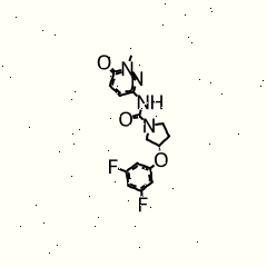 Cn1nc(NC(=O)N2CC[C@H](Oc3cc(F)cc(F)c3)C2)ccc1=O